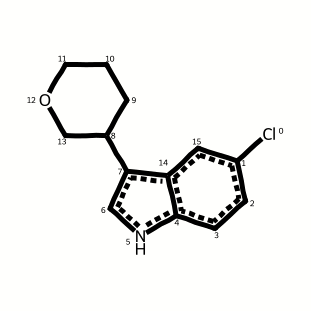 Clc1ccc2[nH]cc(C3CCCOC3)c2c1